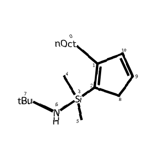 CCCCCCCCC1=C([Si](C)(C)NC(C)(C)C)CC=C1